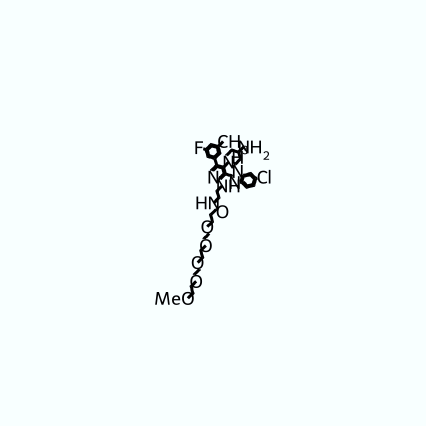 COCCOCCOCCOCCOCCC(=O)NCCNc1ncc(-c2cc(C)cc(F)c2)c(N2CCC(N)CC2)c1-c1nc2ccc(Cl)cc2[nH]1